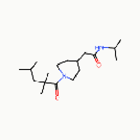 CC(C)CC(C)(C)C(=O)N1CCC(CC(=O)NC(C)C)CC1